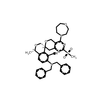 C[C@@H]1OC[C@]2(Cc3nc(S(C)(=O)=O)nc(N4CCCOCC4)c3CO2)c2c1ccc(N(Cc1ccccc1)Cc1ccccc1)c2C#N